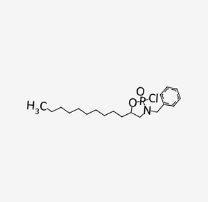 CCCCCCCCCCC1CN(Cc2ccccc2)P(=O)(Cl)O1